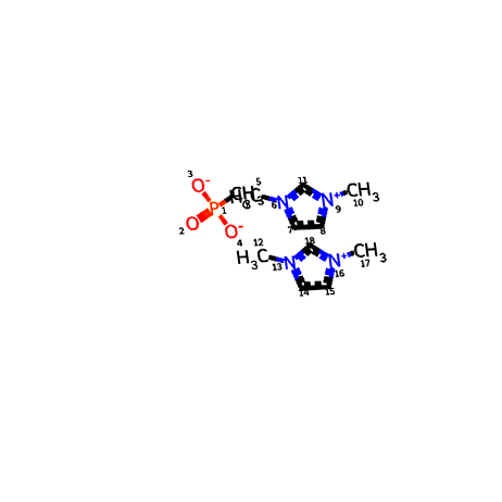 CP(=O)([O-])[O-].Cn1cc[n+](C)c1.Cn1cc[n+](C)c1